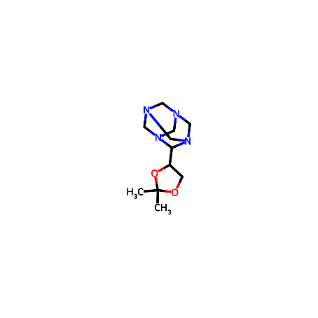 CC1(C)OCC(C2N3CN4CN(C3)CN2C4)O1